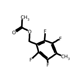 CC(=O)OCc1c(F)c(F)c(C)c(F)c1F